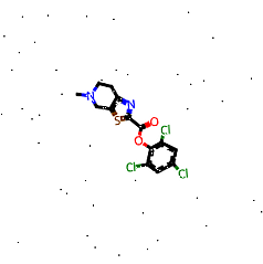 CN1CCc2nc(C(=O)Oc3c(Cl)cc(Cl)cc3Cl)sc2C1